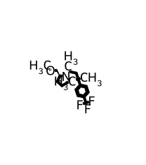 COC[C@@H]1CCCN1C(C)CC(C)(C)c1ccc(C(F)(F)F)cc1